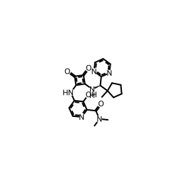 CN(C)C(=O)c1nccc(Nc2c(N[C@@H](c3ncccn3)C3(C)CCCC3)c(=O)c2=O)c1O